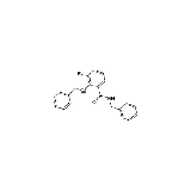 O=C(NCc1ccccc1)c1cccc(F)c1[Se]Cc1ccccc1